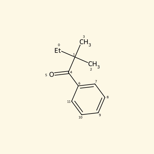 CCC(C)(C)C(=O)c1ccccc1